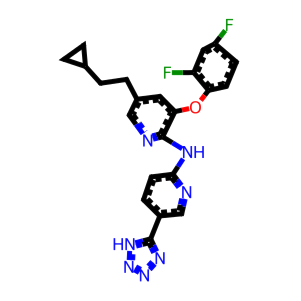 Fc1ccc(Oc2cc(CCC3CC3)cnc2Nc2ccc(-c3nnn[nH]3)cn2)c(F)c1